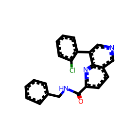 O=C(NCc1ccccc1)c1ccc2cncc(-c3ccccc3Cl)c2n1